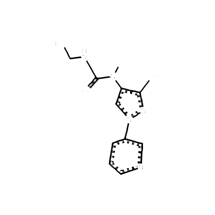 CCNC(=O)N(C)c1cn(-c2cccnc2)nc1C